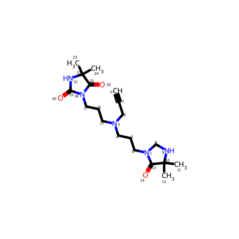 C#CCN(CCCN1CNC(C)(C)C1=O)CCCN1C(=O)NC(C)(C)C1=O